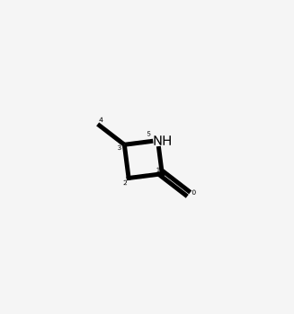 C=C1CC(C)N1